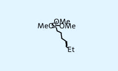 CCC=CCCC[Si](OC)(OC)OC